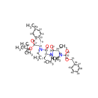 CC[C@@H](C(=O)N(CC)[C@@H](Cc1ccc(C)cc1)C(=O)OC(C)(C)C)N(C)C(=O)[C@H](C)N(C)C(=O)OCc1ccccc1